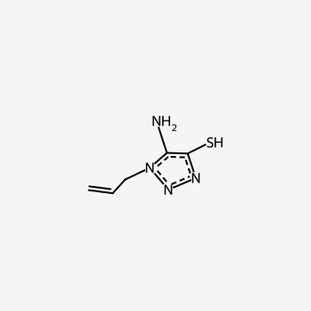 C=CCn1nnc(S)c1N